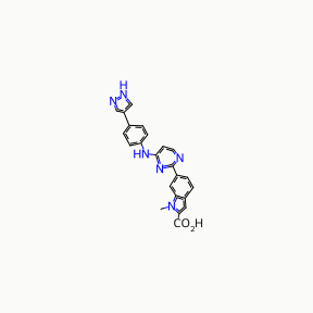 Cn1c(C(=O)O)cc2ccc(-c3nccc(Nc4ccc(-c5cn[nH]c5)cc4)n3)cc21